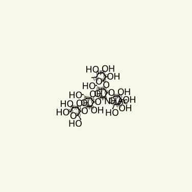 CC(=O)N[C@H]1[C@H](O[C@H]2[C@@H](O)[C@@H](CO)O[C@@H](O[C@H]3[C@H](O)[C@@H](O)[C@H](O)O[C@@H]3CO)[C@@H]2O)O[C@H](CO)[C@@H](O[C@@H]2O[C@@H](C)[C@@H](O)[C@@H](O)[C@@H]2O)[C@@H]1O[C@@H]1O[C@H](CO)[C@H](O)[C@H](O)[C@H]1O